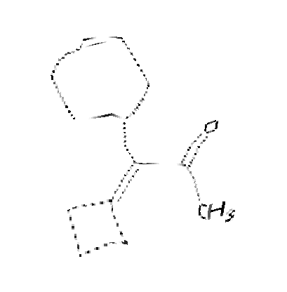 CC(=O)C(=C1CCC1)C1CC=CCC1